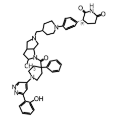 CC1CC2CN(CC3CCN(c4ccc([C@H]5CCC(=O)NC5=O)cc4)CC3)CC2N1C(=O)C1(c2ccccc2)CCN(c2cnnc(-c3ccccc3O)c2)CC1